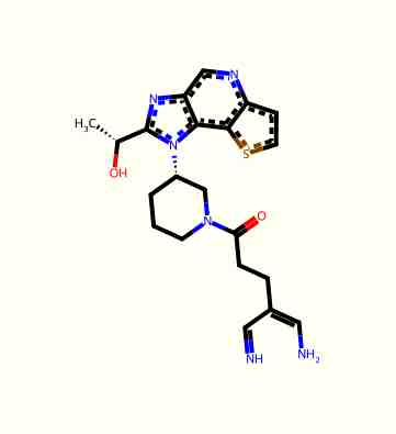 C[C@@H](O)c1nc2cnc3ccsc3c2n1[C@H]1CCCN(C(=O)CC/C(C=N)=C/N)C1